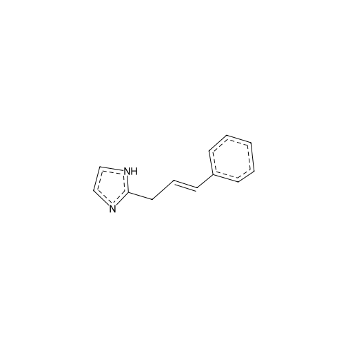 C(=Cc1ccccc1)Cc1ncc[nH]1